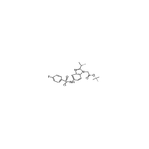 CC(C)c1nc2cc(NS(=O)(=O)c3ccc(F)cc3)ccc2n1CC(=O)OC(C)(C)C